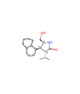 CC(C)[C@H]1C(=O)N[C@H](CO)[C@@H]1c1cccc2ccccc12